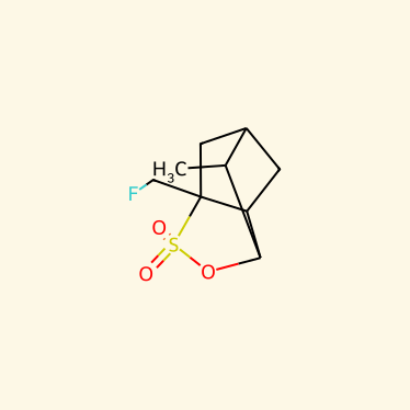 CC1C2CC3C1OS(=O)(=O)C3(CF)C2